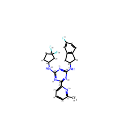 Fc1ccc2c(c1)CC(Nc1nc(NC3CCC(F)(F)C3)nc(-c3cccc(C(F)(F)F)n3)n1)C2